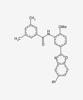 COc1ccc(-c2nc3cc(C(C)C)ccc3o2)cc1NC(=O)c1cc(C)cc(C)c1